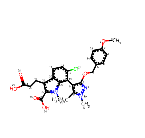 COc1ccc(COc2nn(C)c(C)c2-c2c(Cl)ccc3c(CCC(=O)O)c(C(=O)O)n(C)c23)cc1